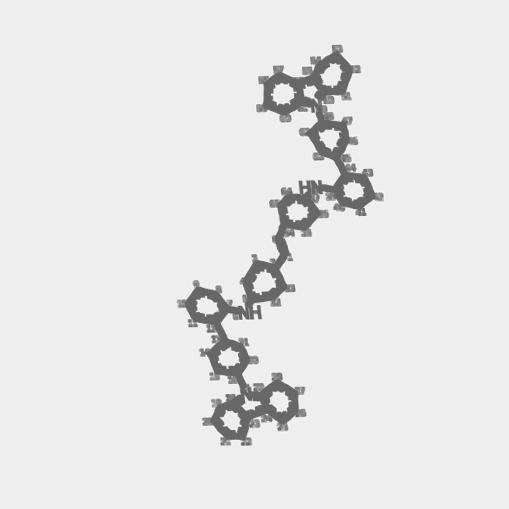 C(=C\c1ccc(Nc2ccccc2-c2ccc(-n3c4ccccc4c4ccccc43)cc2)cc1)/c1ccc(Nc2ccccc2-c2ccc(-n3c4ccccc4c4ccccc43)cc2)cc1